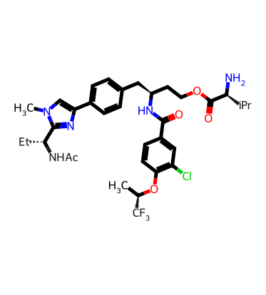 CC[C@@H](NC(C)=O)c1nc(-c2ccc(C[C@@H](CCOC(=O)[C@@H](N)C(C)C)NC(=O)c3ccc(O[C@H](C)C(F)(F)F)c(Cl)c3)cc2)cn1C